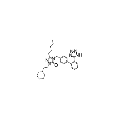 CCCCCc1nn(CCC2CCCCC2)c(=O)n1Cc1ccc(-c2ccccc2-c2nnn[nH]2)cc1